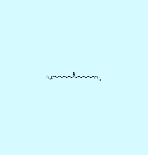 CCCCCCCCC[P](=S)CCCCCCCCC